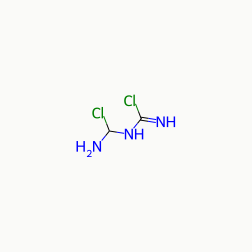 N=C(Cl)NC(N)Cl